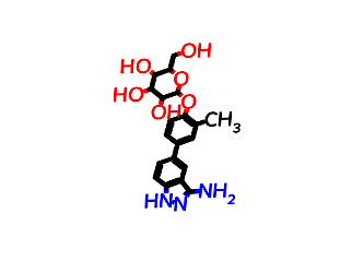 Cc1cc(-c2ccc3[nH]nc(N)c3c2)ccc1OC1OC(CO)C(O)C(O)C1O